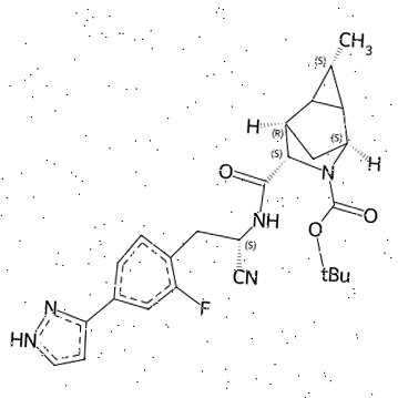 C[C@H]1C2C1[C@@H]1C[C@H]2[C@@H](C(=O)N[C@H](C#N)Cc2ccc(-c3cc[nH]n3)cc2F)N1C(=O)OC(C)(C)C